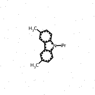 Cc1ccc2c(c1)c1cc(C)ccc1n2C(C)C